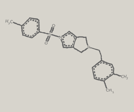 Cc1ccc(S(=O)(=O)n2cc3c(c2)CN(Cc2ccc(C)c(C)c2)C3)cc1